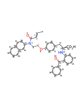 C/C=C/C(=O)N(CCOc1ccc(C[C@H](Nc2ccccc2C(=O)c2ccccc2)C(=O)O)cc1)c1ccc2ccccc2c1